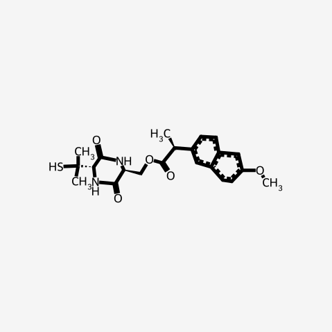 COc1ccc2cc([C@H](C)C(=O)OC[C@@H]3NC(=O)[C@@H](C(C)(C)S)NC3=O)ccc2c1